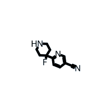 N#Cc1ccc(C2(F)CCNCC2)nc1